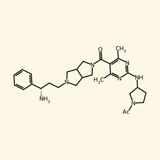 CC(=O)N1CCC(Nc2nc(C)c(C(=O)N3CC4CN(CC[C@H](N)c5ccccc5)CC4C3)c(C)n2)C1